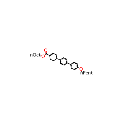 CCCCCCCCOC(=O)C1=CCC(c2ccc(-c3ccc(OCCCCC)cc3)cc2)CC1